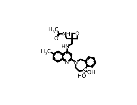 CC(=O)NCC1(CNc2cc(N3CCS(O)(O)c4ccccc4C3)nc3ccc(C)cc23)COC1